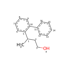 CC(CCO)c1ccccc1-c1ccccc1